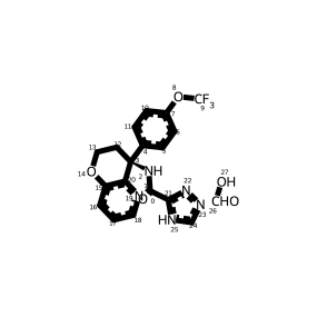 O=C(N[C@]1(c2ccc(OC(F)(F)F)cc2)CCOc2cccnc21)c1nnc[nH]1.O=CO